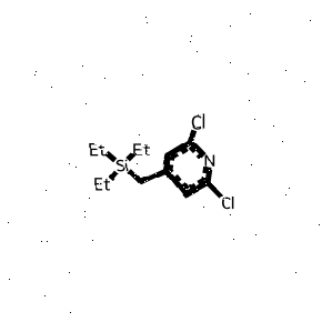 CC[Si](CC)(CC)Cc1cc(Cl)nc(Cl)c1